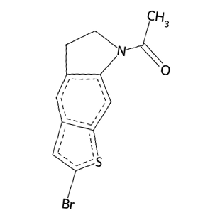 CC(=O)N1CCc2cc3cc(Br)sc3cc21